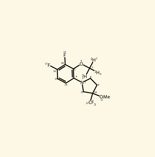 [2H]C([2H])([2H])Oc1c(N2CCC(OC)(C(F)(F)F)C2)ccc(F)c1F